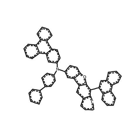 c1ccc(-c2ccc(N(c3ccc4oc5c(-c6cc7ccccc7c7ccccc67)c6ccccc6cc5c4c3)c3ccc4c5ccccc5c5ccccc5c4c3)cc2)cc1